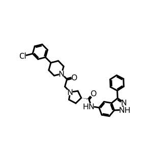 O=C(Nc1ccc2[nH]nc(-c3ccccc3)c2c1)[C@@H]1CCN(CC(=O)N2CCC(c3cccc(Cl)c3)CC2)C1